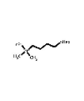 [CH2]CC[N+](C)(C)CCCCCCCCCC